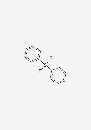 FS(F)(c1ccccc1)c1ccccc1